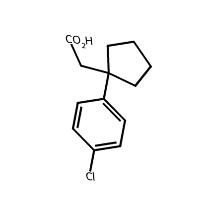 O=C(O)CC1(c2ccc(Cl)cc2)CCCC1